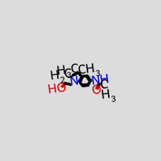 C=C1N(CCO)c2ccc(NC(C)=O)cc2C1(C)C